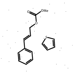 COC(=O)OCC=Cc1ccccc1.c1ccsc1